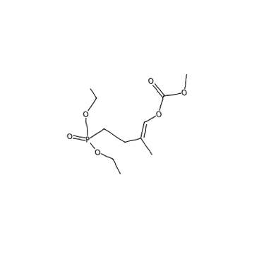 CCOP(=O)(CCC(C)=COC(=O)OC)OCC